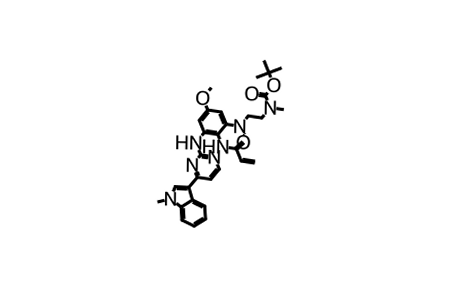 C=CC(=O)Nc1c(Nc2nccc(-c3cn(C)c4ccccc34)n2)cc(OC)cc1N(C)CCN(C)C(=O)OC(C)(C)C